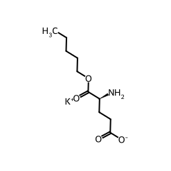 CCCCCOC(=O)[C@@H](N)CCC(=O)[O-].[K+]